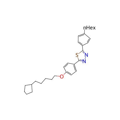 CCCCCCc1ccc(-c2nnc(-c3ccc(OCCCCCC4CCCC4)cc3)s2)cc1